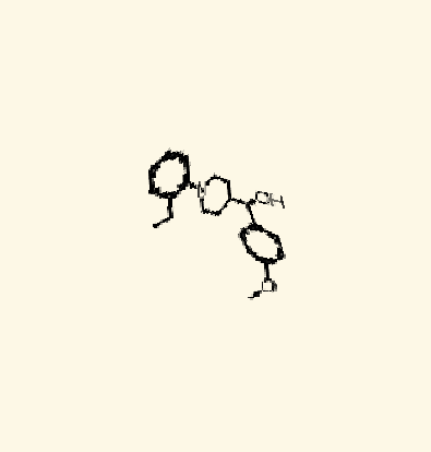 CCc1ccccc1N1CCC(C(O)c2ccc(OC)cc2)CC1